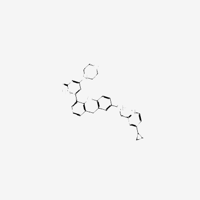 O=c1cc(N2CCOCC2)cc(-c2cccc3c2Oc2ccc(NCc4cc(C5CC5)ccn4)cc2C3)[nH]1